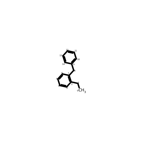 CCc1[c]cccc1Cc1ccccc1